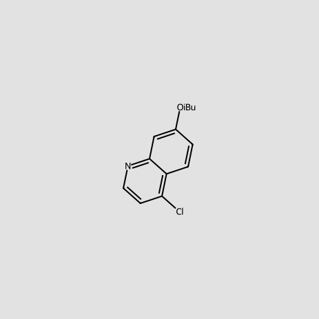 CC(C)COc1ccc2c(Cl)ccnc2c1